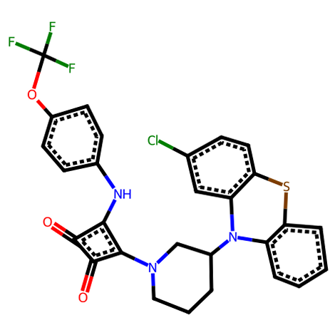 O=c1c(Nc2ccc(OC(F)(F)F)cc2)c(N2CCCC(N3c4ccccc4Sc4ccc(Cl)cc43)C2)c1=O